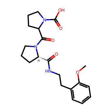 COc1ccccc1CCNC(=O)[C@@H]1CCCN1C(=O)C1CCCN1C(=O)O